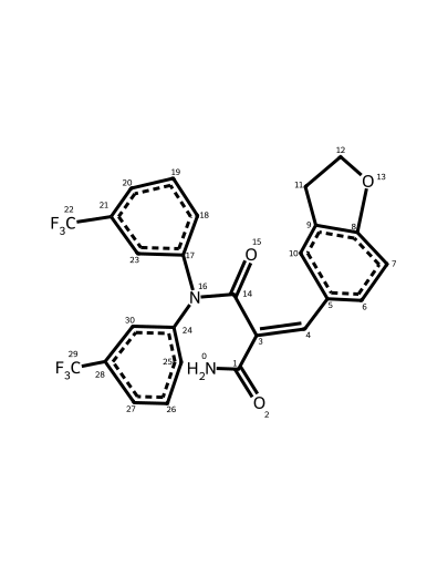 NC(=O)C(=Cc1ccc2c(c1)CCO2)C(=O)N(c1cccc(C(F)(F)F)c1)c1cccc(C(F)(F)F)c1